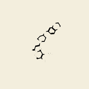 COc1c(C)cnn2c(=O)cc(N3CCC(Oc4ccc5c(c4)OCCO5)CC3)nc12